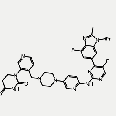 Cc1nc2c(F)cc(-c3nc(Nc4ccc(N5CCN(Cc6ccncc6N6CCC(=O)NC6=O)CC5)cn4)ncc3F)cc2n1C(C)C